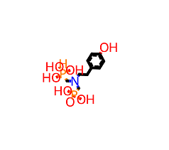 O=P(O)(O)CN(CCc1ccc(O)cc1)C[PH](O)(O)O